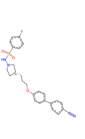 N#Cc1ccc(-c2ccc(OCCC[C@@H]3CCN(NS(=O)(=O)c4ccc(F)cc4)C3)cc2)cc1